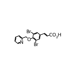 O=C(O)C=Cc1cc(Br)c(OCc2ccccn2)c(Br)c1